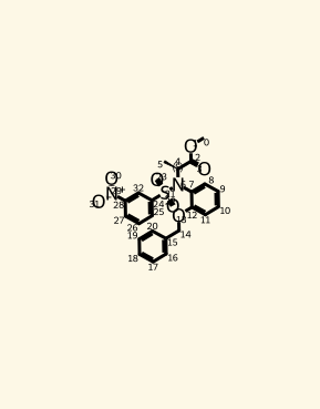 COC(=O)[C@H](C)N(c1ccccc1OCc1ccccc1)S(=O)(=O)c1cccc([N+](=O)[O-])c1